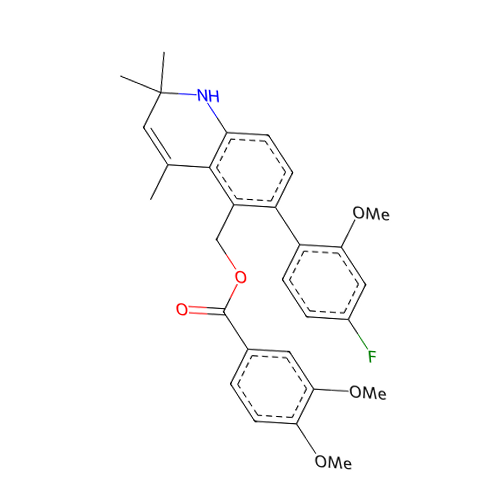 COc1ccc(C(=O)OCc2c(-c3ccc(F)cc3OC)ccc3c2C(C)=CC(C)(C)N3)cc1OC